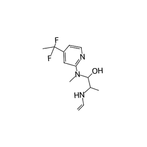 C=CNC(C)C(O)N(C)c1cc(C(C)(F)F)ccn1